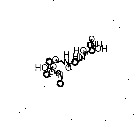 O=C(NCCCOc1cccc(C(O)(C(=O)O[C@@H]2CCN(Cc3ccccc3)C2)c2ccccc2)c1)c1ccc(CNC[C@H](O)c2ccc(O)c3[nH]c(=O)ccc23)cc1